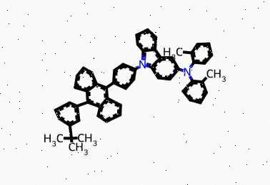 Cc1ccccc1N(c1ccc2c(c1)c1ccccc1n2-c1ccc(-c2c3ccccc3c(-c3cccc(C(C)(C)C)c3)c3ccccc23)cc1)c1ccccc1C